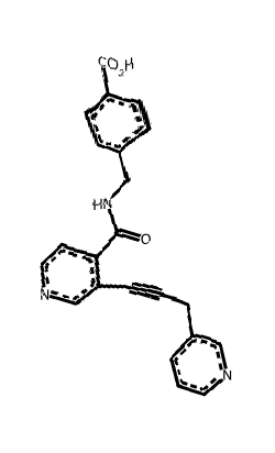 O=C(O)c1ccc(CNC(=O)c2ccncc2C#CCc2cccnc2)cc1